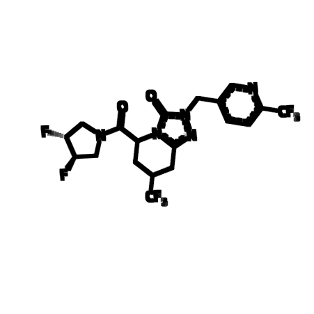 O=C(C1CC(C(F)(F)F)Cc2nn(Cc3ccc(C(F)(F)F)nc3)c(=O)n21)N1C[C@@H](F)[C@H](F)C1